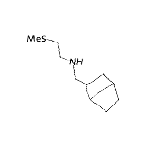 CSCCNCC1CC2CCC1C2